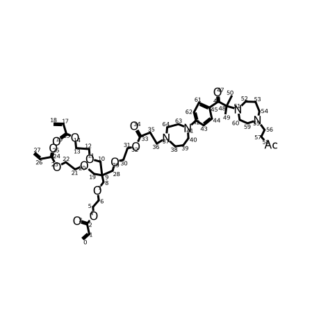 C=CC(=O)OCCOCC(COCCOC(=O)C=C)(COCCOC(=O)C=C)COCCOC(=O)CCN1CCCN(c2ccc(C(=O)C(C)(C)N3CCCN(CCC(C)=O)CC3)cc2)CC1